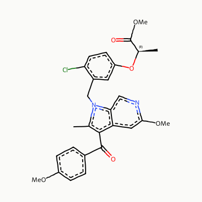 COC(=O)[C@@H](C)Oc1ccc(Cl)c(Cn2c(C)c(C(=O)c3ccc(OC)cc3)c3cc(OC)ncc32)c1